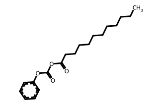 CCCCCCCCCCCC(=O)OC(=O)Oc1ccccc1